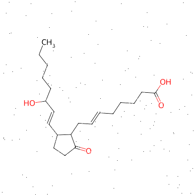 CCCCCC(O)/C=C/C1CCC(=O)C1C/C=C/CCCCC(=O)O